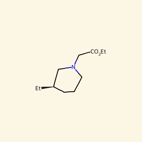 CCOC(=O)CN1CCC[C@@H](CC)C1